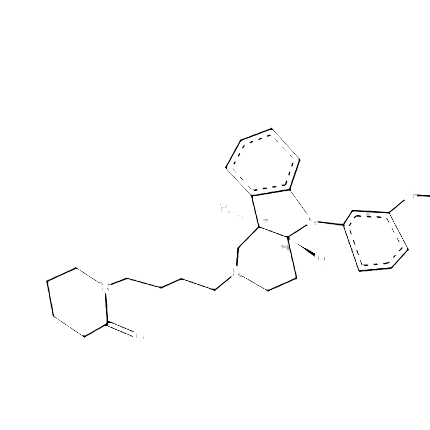 COc1cccc(N2c3ccccc3[C@@H]3CN(CCCCN4CCCCC4=O)CC[C@H]32)c1